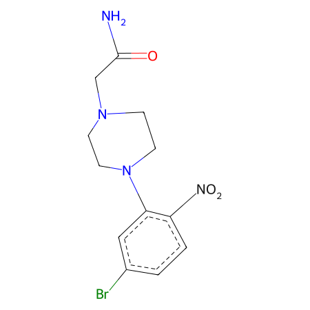 NC(=O)CN1CCN(c2cc(Br)ccc2[N+](=O)[O-])CC1